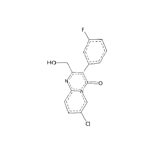 O=c1c(-c2cccc(F)c2)c(CO)nc2ccc(Cl)cn12